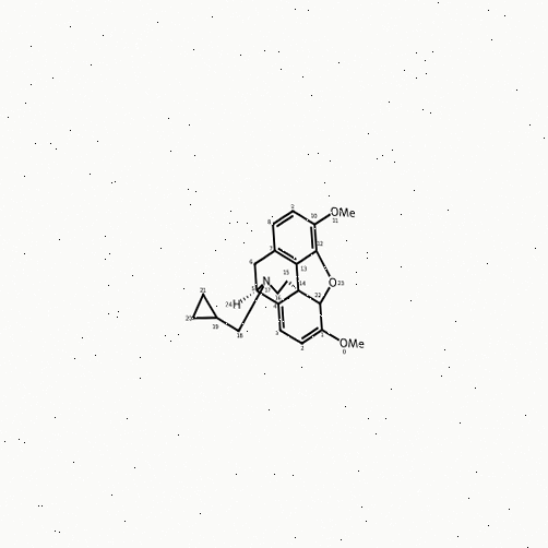 COC1=CC=C2[C@H]3Cc4ccc(OC)c5c4[C@@]2(CCN3CC2CC2)C1O5